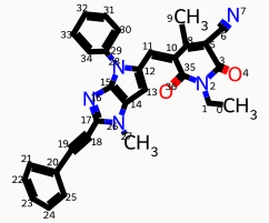 CCN1C(=O)C(C#N)=C(C)/C(=C/c2cc3c(nc(C#Cc4ccccc4)n3C)n2-c2ccccc2)C1=O